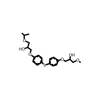 COCC(O)COc1ccc(Sc2ccc(OCC(O)COC(C)C)cc2)cc1